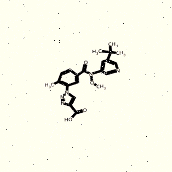 CON(C(=O)c1ccc(C)c(-n2cc(C(=O)O)nn2)c1)c1cncc(C(C)(C)C)c1